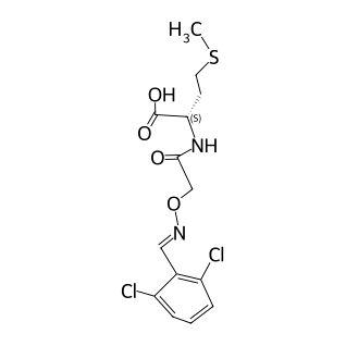 CSCC[C@H](NC(=O)CON=Cc1c(Cl)cccc1Cl)C(=O)O